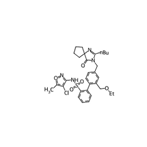 CCCCC1=NC2(CCCC2)C(=O)N1Cc1ccc(-c2ccccc2S(=O)(=O)Nc2noc(C)c2Cl)c(COCC)c1